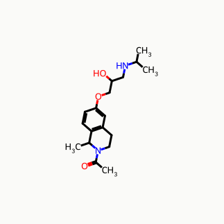 CC(=O)N1CCc2cc(OCC(O)CNC(C)C)ccc2C1C